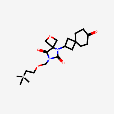 C[Si](C)(C)CCOCN1C(=O)N(C2CC3(CCC(=O)CC3)C2)C2(COC2)C1=O